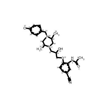 CC(=O)Nc1cc(C#N)ccc1OCC(O)CN1CC(C)N(Cc2ccc(Cl)cc2)CC1C